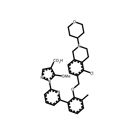 COc1c(C(=O)O)cnn1-c1cccc(-c2cccc(C)c2OCc2ccc3c(c2Cl)CCN(C2CCOCC2)C3)n1